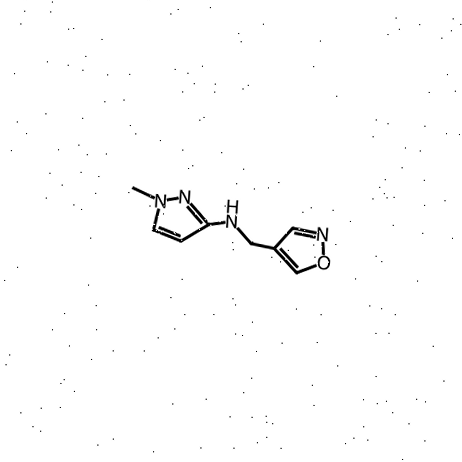 Cn1ccc(NCc2cnoc2)n1